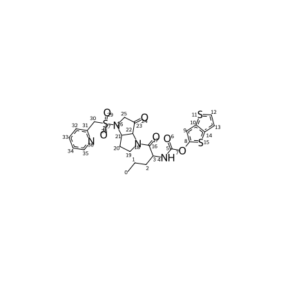 CCCC(NC(=O)Oc1cc2sccc2s1)C(=O)N1CCC2C1C(=O)CN2S(=O)(=O)Cc1ccccn1